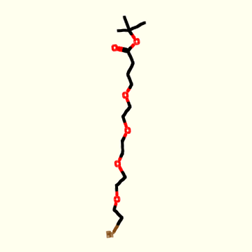 CC(C)(C)OC(=O)CCCOCCOCCOCCOCCBr